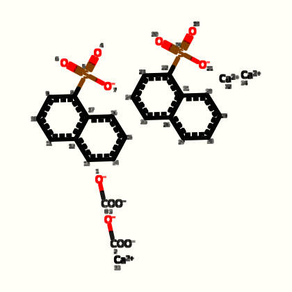 O=C([O-])[O-].O=C([O-])[O-].O=S(=O)([O-])c1cccc2ccccc12.O=S(=O)([O-])c1cccc2ccccc12.[Ca+2].[Ca+2].[Ca+2]